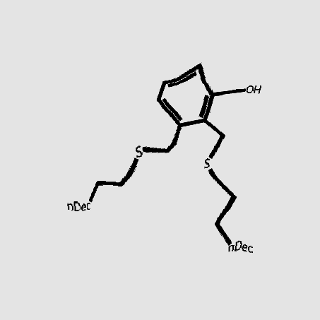 CCCCCCCCCCCCSCc1cccc(O)c1CSCCCCCCCCCCCC